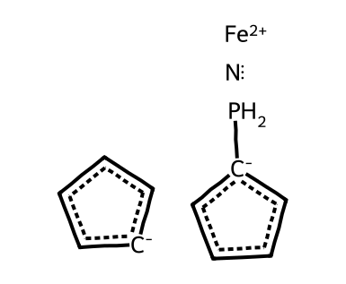 P[c-]1cccc1.[Fe+2].[N].c1cc[cH-]c1